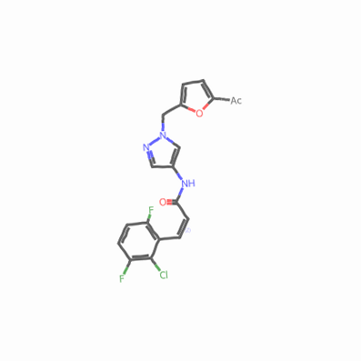 CC(=O)c1ccc(Cn2cc(NC(=O)/C=C\c3c(F)ccc(F)c3Cl)cn2)o1